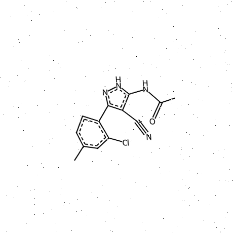 CC(=O)Nc1[nH]nc(-c2ccc(C)cc2Cl)c1C#N